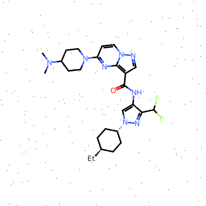 CC[C@H]1CC[C@H](n2cc(NC(=O)c3cnn4ccc(N5CCC(N(C)C)CC5)nc34)c(C(F)F)n2)CC1